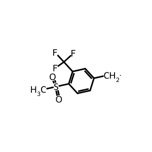 [CH2]c1ccc(S(C)(=O)=O)c(C(F)(F)F)c1